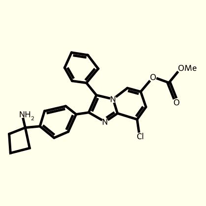 COC(=O)Oc1cc(Cl)c2nc(-c3ccc(C4(N)CCC4)cc3)c(-c3ccccc3)n2c1